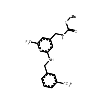 CC(C)(C)OC(=O)NCc1cc(NCc2cccc(C(=O)O)c2)nc(C(F)(F)F)c1